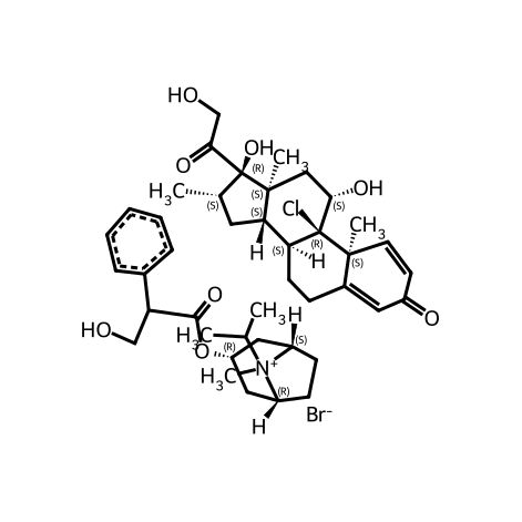 CC(C)[N+]1(C)[C@@H]2CC[C@H]1C[C@@H](OC(=O)C(CO)c1ccccc1)C2.C[C@H]1C[C@H]2[C@@H]3CCC4=CC(=O)C=C[C@]4(C)[C@@]3(Cl)[C@@H](O)C[C@]2(C)[C@@]1(O)C(=O)CO.[Br-]